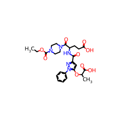 CCOC(=O)N1CCN(C(=O)C(CCC(=O)O)NC(=O)c2cc(OC(C)C(=O)O)n(-c3ccccc3)n2)CC1